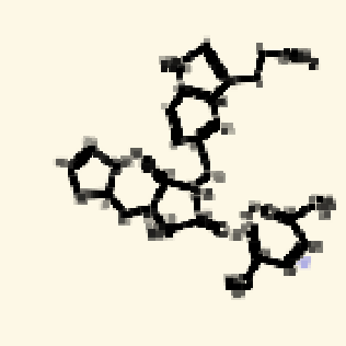 NCCc1c[nH]c2ccc(CN3C(=O)NC(Cc4cccs4)C3=O)cc12.O=C(O)/C=C\C(=O)O